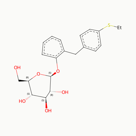 CCSc1ccc(Cc2ccccc2O[C@@H]2O[C@H](CO)[C@@H](O)[C@H](O)[C@H]2O)cc1